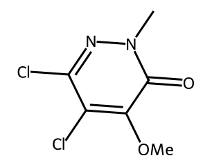 COc1c(Cl)c(Cl)nn(C)c1=O